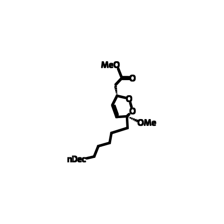 CCCCCCCCCCCCCCC[C@@]1(OC)C=C[C@H](CC(=O)OC)OO1